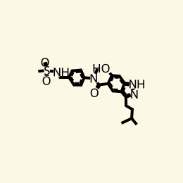 CC(C)CCc1n[nH]c2cc(O)c(C(=O)N(C)c3ccc(CNS(C)(=O)=O)cc3)cc12